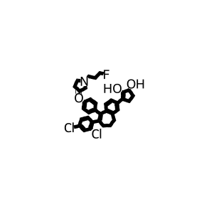 OC1=C(c2ccc3c(c2)CCCC(c2ccc(Cl)cc2Cl)=C3c2ccc(O[C@H]3CCN(CCCF)C3)cc2)CCC1O